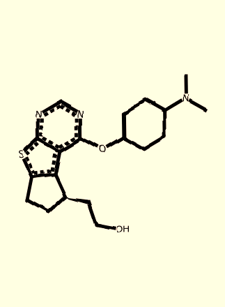 CN(C)C1CCC(Oc2ncnc3sc4c(c23)[C@@H](CCO)CC4)CC1